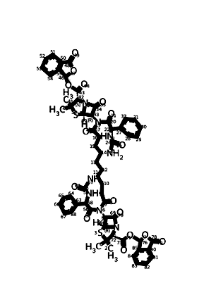 CC1(C)S[C@@H]2[C@H](N(C(=O)CCCCCCCCC(=O)N(C(=O)C(NC(N)=O)c3ccccc3)[C@@H]3C(=O)N4[C@@H]3SC(C)(C)[C@@H]4C(=O)OC3OC(=O)c4ccccc43)C(=O)C(NC(N)=O)c3ccccc3)C(=O)N2[C@H]1C(=O)OC1OC(=O)c2ccccc21